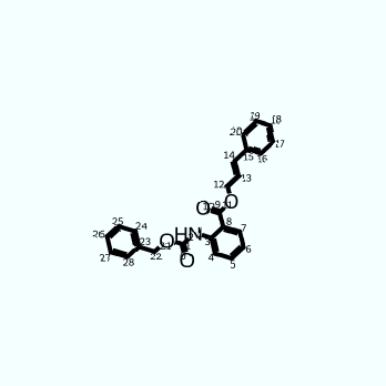 O=C(Nc1ccccc1C(=O)OCC=Cc1ccccc1)OCc1ccccc1